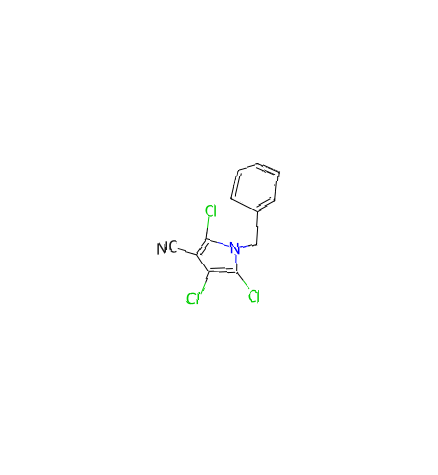 N#Cc1c(Cl)c(Cl)n(Cc2ccccc2)c1Cl